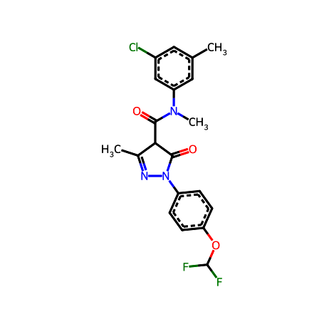 CC1=NN(c2ccc(OC(F)F)cc2)C(=O)C1C(=O)N(C)c1cc(C)cc(Cl)c1